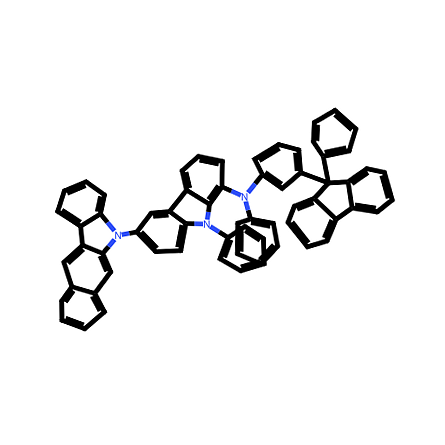 c1ccc(N(c2cccc(C3(c4ccccc4)c4ccccc4-c4ccccc43)c2)c2cccc3c4cc(-n5c6ccccc6c6cc7ccccc7cc65)ccc4n(-c4ccccc4)c23)cc1